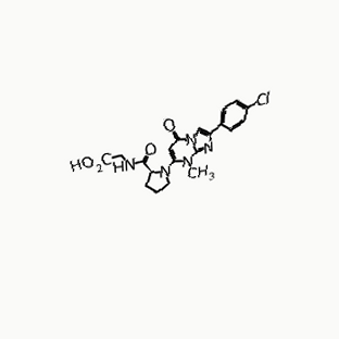 Cn1c(N2CCC[C@H]2C(=O)NCC(=O)O)cc(=O)n2cc(-c3ccc(Cl)cc3)nc12